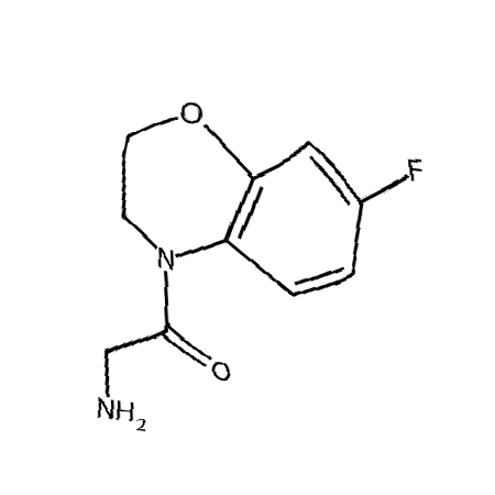 NCC(=O)N1CCOc2cc(F)ccc21